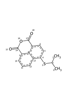 CC(C)Sc1ccc2c3c(cccc13)C(=O)OC2=O